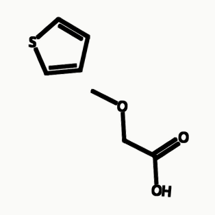 COCC(=O)O.c1ccsc1